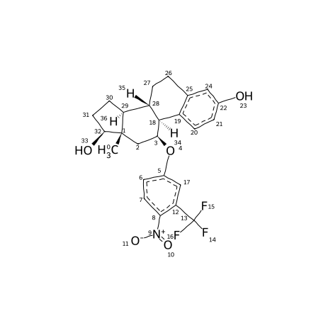 C[C@]12C[C@H](Oc3ccc([N+](=O)[O-])c(C(F)(F)F)c3)[C@@H]3c4ccc(O)cc4CC[C@H]3[C@@H]1CC[C@@H]2O